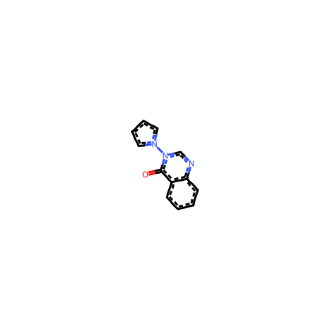 O=c1c2ccccc2ncn1-n1cccc1